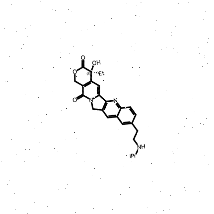 CC[C@@]1(O)C(=O)OCc2c1cc1n(c2=O)Cc2cc3cc(CCNC(C)C)ccc3nc2-1